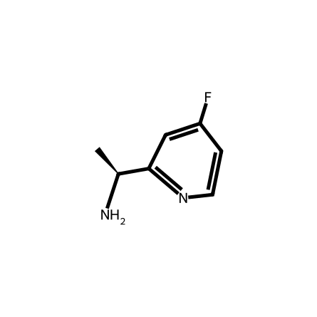 C[C@H](N)c1cc(F)ccn1